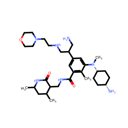 Cc1c(C(=O)NCC2C(=O)NC(C)CC2C)cc(C(CN)CNCCN2CCOCC2)cc1N(C)[C@H]1CC[C@@H](N)CC1